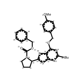 COc1ccc(COc2nc(C(C)(C)C)nc3sc(C4CCCN4C(=O)OCc4ccccc4)nc23)cc1